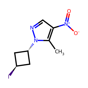 Cc1c([N+](=O)[O-])cnn1[C@H]1C[C@H](I)C1